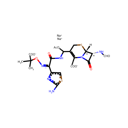 CC(=O)OC(NC(=O)/C(=N\OC(C)(C)C(=O)[O-])c1csc(N)n1)C1=C(C(=O)[O-])N2C(=O)[C@@H](NC=O)[C@H]2SC1.[Na+].[Na+]